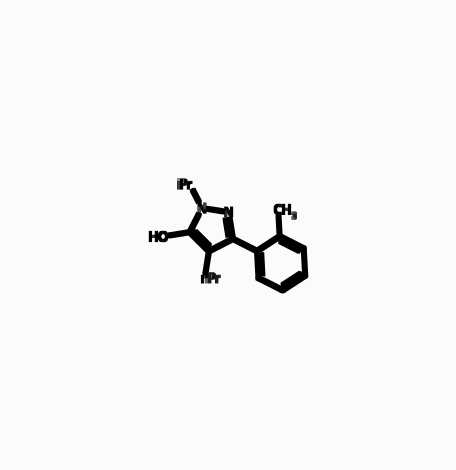 CCCc1c(-c2ccccc2C)nn(C(C)C)c1O